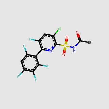 CCC(=O)NS(=O)(=O)c1nc(-c2c(F)cc(F)c(F)c2F)c(F)cc1Cl